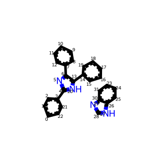 c1ccc(-c2nc(-c3ccccc3)c(-c3ccccc3)[nH]2)cc1.c1ccc2[nH]cnc2c1